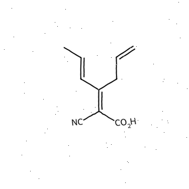 C=CCC(C=CC)=C(C#N)C(=O)O